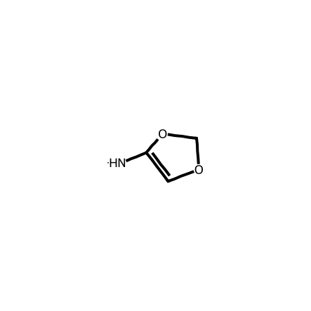 [NH]C1=COCO1